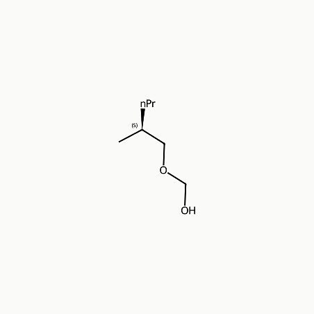 CCC[C@H](C)COCO